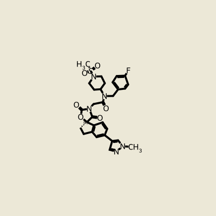 Cn1cc(-c2ccc3c(c2)CC[C@@]32OC(=O)N(CC(=O)N(Cc3ccc(F)cc3)C3CCN(S(C)(=O)=O)CC3)C2=O)cn1